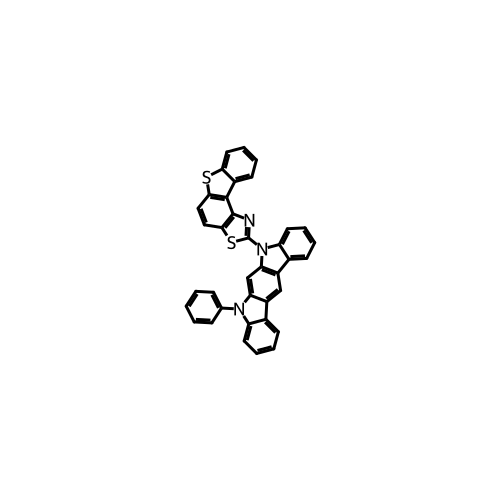 c1ccc(-n2c3ccccc3c3cc4c5ccccc5n(-c5nc6c(ccc7sc8ccccc8c76)s5)c4cc32)cc1